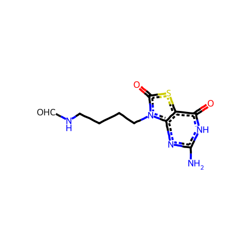 Nc1nc2c(sc(=O)n2CCCCNC=O)c(=O)[nH]1